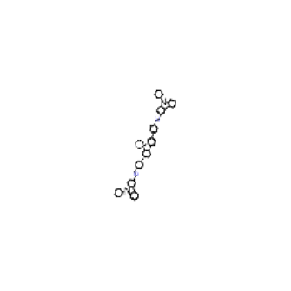 C(=C\c1ccc2c(c1)c1ccccc1n2-c1ccccc1)/c1ccc(-c2ccc3c(c2)C2(CCCCC2)c2cc(-c4ccc(/C=C/c5ccc6c(c5)c5ccccc5n6-c5ccccc5)cc4)ccc2-3)cc1